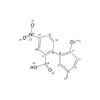 COc1ccc(C)cc1-c1ccc([N+](=O)[O-])cc1C(=O)O